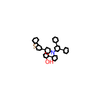 Oc1ccccc1-c1ccccc1N(c1ccc(-c2ccc3sc4ccccc4c3c2)cc1)c1cc(-c2ccccc2)cc(-c2ccccc2)c1